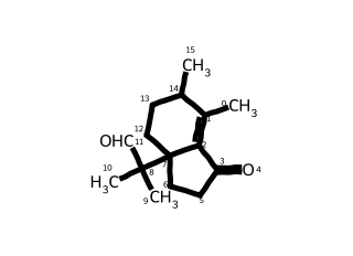 CC1=C2C(=O)CCC2(C(C)(C)C=O)CCC1C